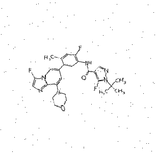 Cc1cc(F)c(NC(=O)c2cnn(C(C)(C)C)c2F)cc1-c1cc(N2CCOCC2)c2ncc(F)n2c1